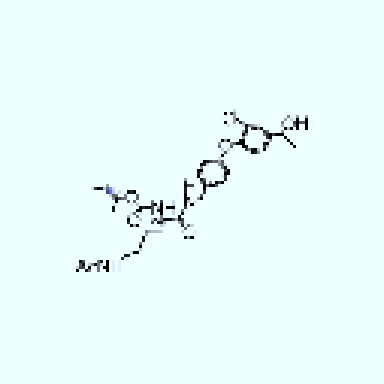 C/C=C(\C)OC(=O)N[C@@H](CCCCNC(C)=O)C(=O)NCc1ccc(Oc2ccc(C(C)O)cc2Cl)cc1